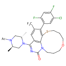 CC(=O)N1C[C@H](C)N(c2nc(=O)n3c4c(c(-c5cc(Cl)c(F)cc5F)c(C(F)(F)F)cc24)SCCCOCCC3)C[C@H]1C